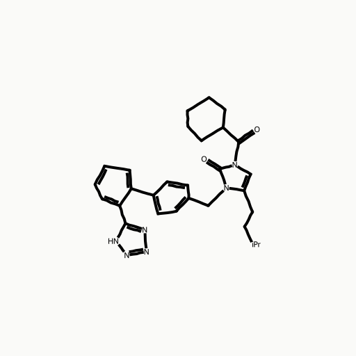 CC(C)CCc1cn(C(=O)C2CCCCC2)c(=O)n1Cc1ccc(-c2ccccc2-c2nnn[nH]2)cc1